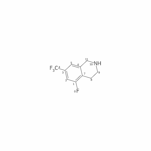 Fc1cc(C(F)(F)F)cc2c1CCNC2